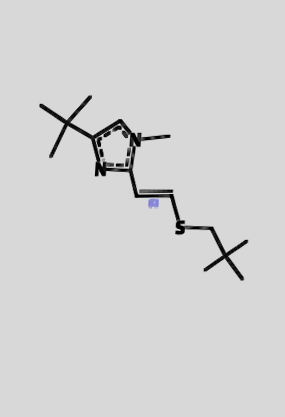 Cn1cc(C(C)(C)C)nc1/C=C/SCC(C)(C)C